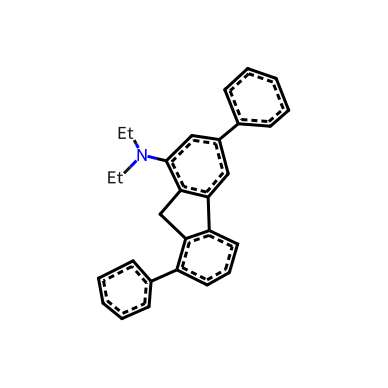 CCN(CC)c1cc(-c2ccccc2)cc2c1Cc1c(-c3ccccc3)cccc1-2